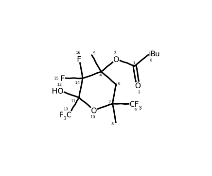 CCC(C)C(=O)OC1(C)CC(C)(C(F)(F)F)OC(O)(C(F)(F)F)C1(F)F